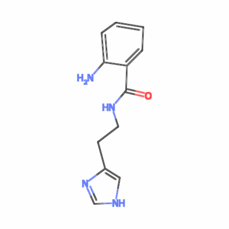 Nc1ccccc1C(=O)NCCc1c[nH]cn1